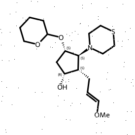 COC=CC[C@H]1[C@H](N2CCSCC2)[C@@H](OC2CCCCO2)C[C@H]1O